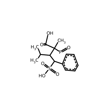 CC(C)C(C(c1ccccc1)S(=O)(=O)O)C(C)(P=O)C(=O)O